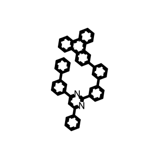 c1ccc(-c2cccc(-c3cc(-c4ccccc4)nc(-c4cccc(-c5cccc(-c6ccc7c8ccccc8c8ccccc8c7c6)c5)c4)n3)c2)cc1